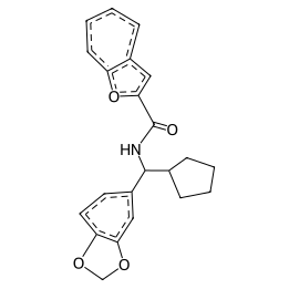 O=C(NC(c1ccc2c(c1)OCO2)C1CCCC1)c1cc2ccccc2o1